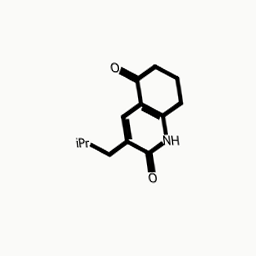 CC(C)Cc1cc2c([nH]c1=O)CCCC2=O